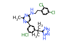 Cc1nc(NCCc2ccc(Cl)cc2Cl)cc(-c2cccc(C(C)(C)c3nnn[nH]3)c2)n1.Cl